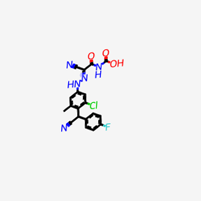 Cc1cc(N/N=C(\C#N)C(=O)NC(=O)O)cc(Cl)c1C(C#N)c1ccc(F)cc1